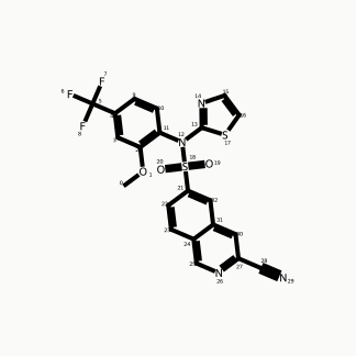 COc1cc(C(F)(F)F)ccc1N(c1nccs1)S(=O)(=O)c1ccc2cnc(C#N)cc2c1